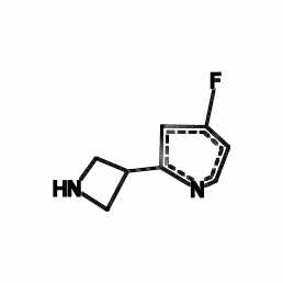 Fc1ccnc(C2CNC2)c1